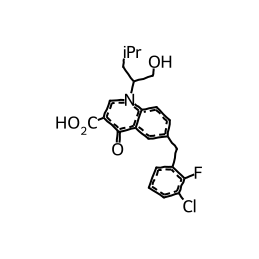 CC(C)CC(CO)n1cc(C(=O)O)c(=O)c2cc(Cc3cccc(Cl)c3F)ccc21